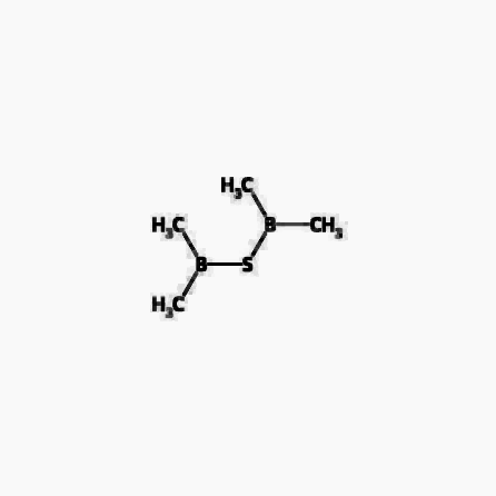 CB(C)SB(C)C